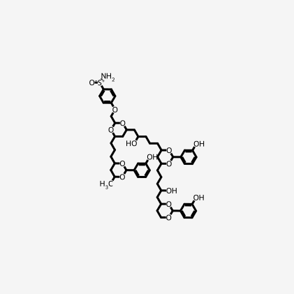 CC1CC(CCCC2CC(CC(O)CCCC3CC(CCCC(O)CC4CCOC(c5cccc(O)c5)O4)OC(c4cccc(O)c4)O3)OC(COc3ccc([S+](N)[O-])cc3)O2)OC(c2cccc(O)c2)O1